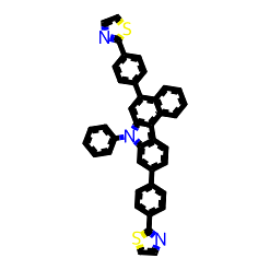 c1ccc(-n2c3cc(-c4ccc(-c5nccs5)cc4)ccc3c3c4ccccc4c(-c4ccc(-c5nccs5)cc4)cc32)cc1